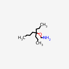 CCCCC(CCC)(CCC)OCN